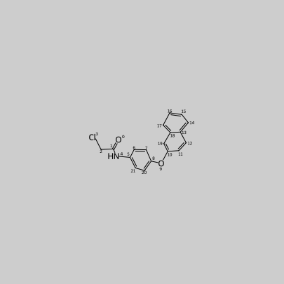 O=C(CCl)Nc1ccc(Oc2ccc3ccccc3c2)cc1